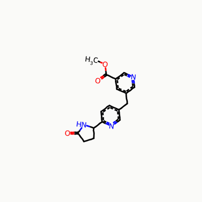 COC(=O)c1cncc(Cc2ccc(C3CCC(=O)N3)nc2)c1